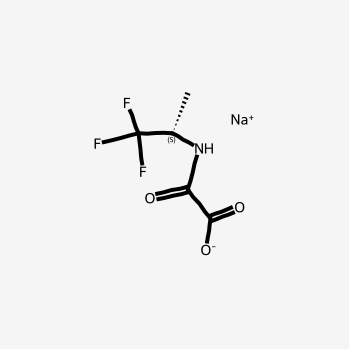 C[C@H](NC(=O)C(=O)[O-])C(F)(F)F.[Na+]